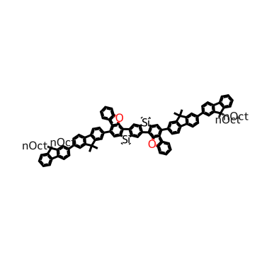 CCCCCCCCC1(CCCCCCCC)c2ccccc2-c2ccc(-c3ccc4c(c3)C(C)(C)c3cc(-c5cc6c(c7oc8ccccc8c57)-c5cc7c(cc5[Si]6(C)C)-c5c(cc(-c6ccc8c(c6)C(C)(C)c6cc(-c9ccc%10c(c9)C(CCCCCCCC)(CCCCCCCC)c9ccccc9-%10)ccc6-8)c6c5oc5ccccc56)[Si]7(C)C)ccc3-4)cc21